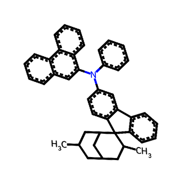 CC1CC2CC(C)C3(c4ccccc4-c4cc(N(c5ccccc5)c5cc6ccccc6c6ccccc56)ccc43)C(C1)C2